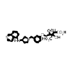 O=C(O)C(O)C(O)(C(=O)O)C(=O)COc1cccc(CN2CCC(Nc3cccc4cnccc34)C2)c1